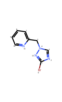 Brc1ncn(Cc2ccccn2)n1